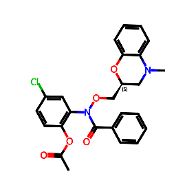 CC(=O)Oc1ccc(Cl)cc1N(OC[C@@H]1CN(C)c2ccccc2O1)C(=O)c1ccccc1